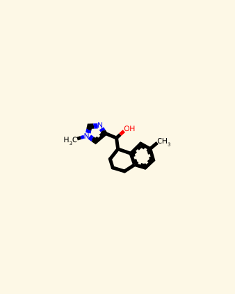 Cc1ccc2c(c1)C(C(O)c1cn(C)cn1)CCC2